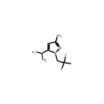 Cc1cc(C(C)C)n(CC(F)(F)F)n1